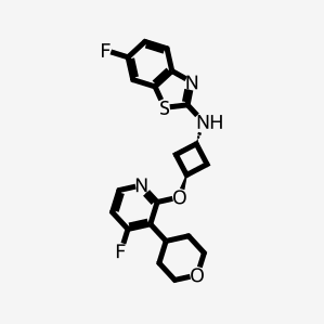 Fc1ccc2nc(N[C@H]3C[C@H](Oc4nccc(F)c4C4CCOCC4)C3)sc2c1